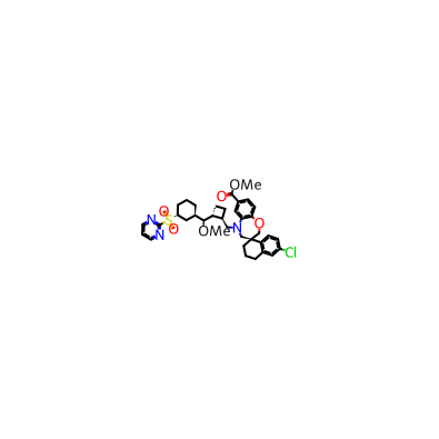 COC(=O)c1ccc2c(c1)N(C[C@@H]1CC[C@H]1[C@@H](OC)[C@@H]1CCC[C@@H](S(=O)(=O)c3ncccn3)C1)C[C@@]1(CCCc3cc(Cl)ccc31)CO2